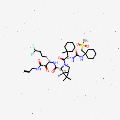 C=CCNC(=O)C(=O)[C@H](CCCC(F)F)NC(=O)[C@@H]1[C@@H]2C(CN1C(=O)[C@@H](NC(=O)NC1(CS(=O)(=O)C(C)(C)C)CCCCC1)C1(C)CCCCC1)C2(C)C